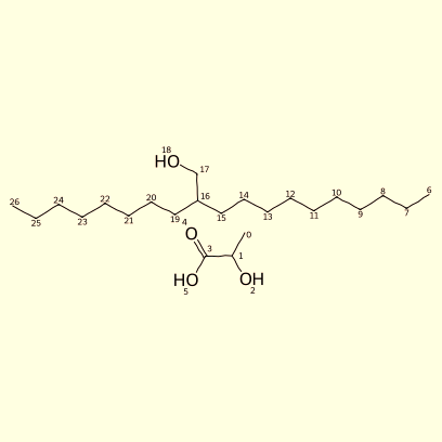 CC(O)C(=O)O.CCCCCCCCCCC(CO)CCCCCCCC